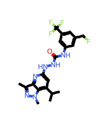 Cc1nn(C)c2c(C(C)C)cc(NNC(=O)Nc3cc(CF)cc(C(F)(F)F)c3)nc12